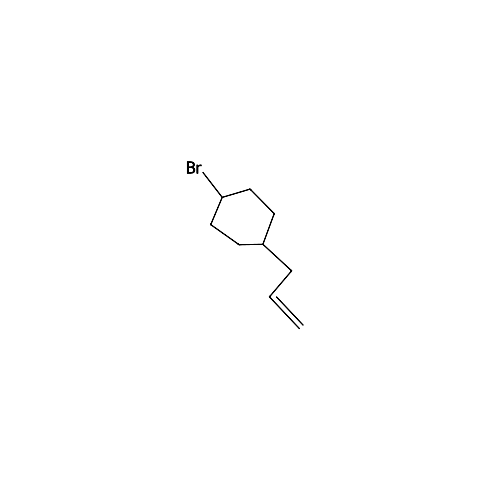 C=CCC1CCC(Br)CC1